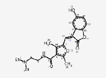 CCN(CC)CCNC(=O)c1c(C)oc(/C=C2\C(=O)Oc3ccc(O)cc32)c1C